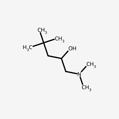 CN(C)CC(O)CC(C)(C)C